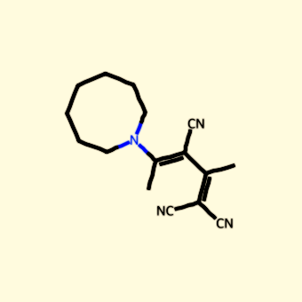 CC(=C(C#N)C#N)/C(C#N)=C(\C)N1CCCCCCC1